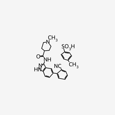 CN1CCC(C(=O)Nc2n[nH]c3ccc(-c4ccccc4C#N)cc23)CC1.Cc1ccc(S(=O)(=O)O)cc1